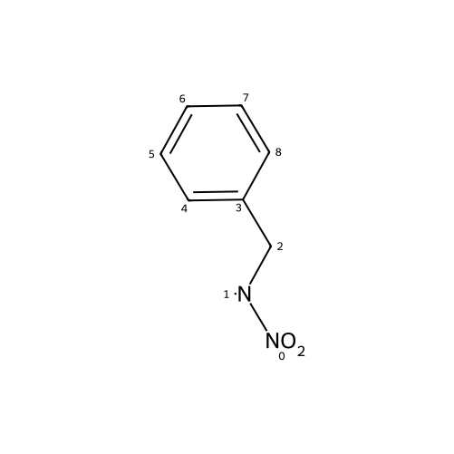 O=[N+]([O-])[N]Cc1ccccc1